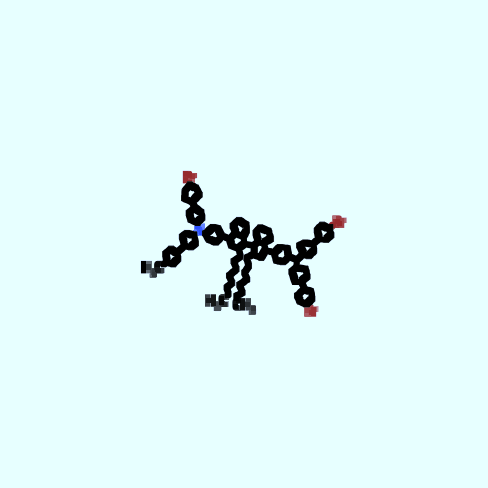 CCCCCCCCc1cc(-c2ccc(C(c3ccc(-c4ccc(Br)cc4)cc3)c3ccc(-c4ccc(Br)cc4)cc3)cc2)c2ccccc2c1-c1c(CCCCCCCC)cc(-c2ccc(N(c3ccc(-c4ccc(C)cc4)cc3)c3ccc(-c4ccc(Br)cc4)cc3)cc2)c2ccccc12